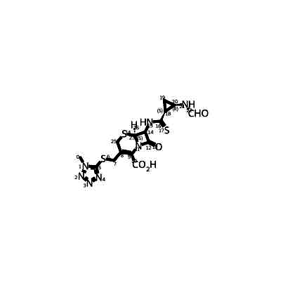 Cn1nnnc1SCC1=C(C(=O)O)N2C(=O)C(NC(=S)[C@H]3C[C@H]3NC=O)[C@@H]2SC1